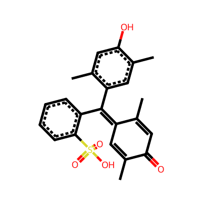 CC1=C/C(=C(/c2cc(C)c(O)cc2C)c2ccccc2S(=O)(=O)O)C(C)=CC1=O